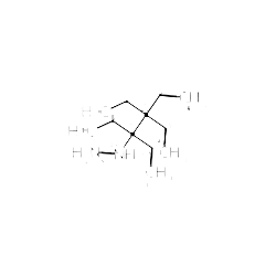 CCC(CC)(CC)C(CC)(CC)NN